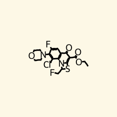 CCOC(=O)c1c2n(c3c(Cl)c(N4CCOCC4)c(F)cc3c1=O)C(CF)S2